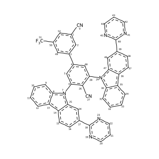 N#Cc1cc(-c2cc(-n3c4ccccc4c4ccc(-c5ncccn5)cc43)c(C#N)c(-n3c4ccccc4c4ccc(-c5ncccn5)cc43)c2)cc(C(F)(F)F)c1